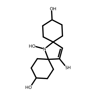 OC1CCC2(C=C(S)C3(CCC(O)CC3)N2O)CC1